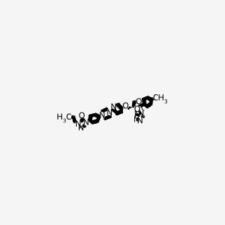 CCCn1ncn(-c2ccc(N3CCN(c4ccc(OC[C@@H]5CO[C@@](Cn6cnnn6)(c6ccc(C)cc6)O5)cn4)CC3)cc2)c1=O